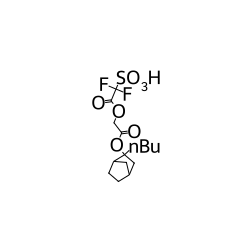 CCCCC1(OC(=O)COC(=O)C(F)(F)S(=O)(=O)O)CC2CCC1C2